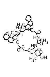 C[C@H](NC(=O)[C@@H]1CCCNC(=O)CCN2/C(=C/C=C/C3=[N+](CCC(=O)N[C@@H](C)C(=O)N1)c1ccc4ccccc4c1C3(C)C)C(C)(C)c1c2ccc2ccccc12)C(=O)O